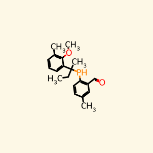 CCC(C)(Pc1ccc(C)cc1C=O)c1cccc(C)c1OC